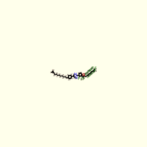 Fc1c(-c2ncc(-c3ccc(CCCCCCCCCC4CC4)cc3)cn2)ccc2c1C(F)(F)C(CC(F)(F)C(F)(F)C(F)(F)C(F)(F)C(F)(F)C(F)(F)F)O2